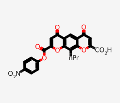 CCCc1c2oc(C(=O)O)cc(=O)c2cc2c(=O)cc(C(=O)Oc3ccc([N+](=O)[O-])cc3)oc12